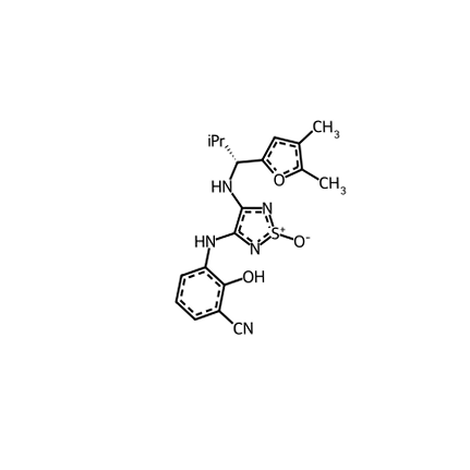 Cc1cc([C@H](Nc2n[s+]([O-])nc2Nc2cccc(C#N)c2O)C(C)C)oc1C